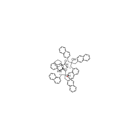 O=C(N[C@@H](c1cccc2ccccc12)C(O)(Cc1ccc2ccccc2c1)Cc1ccc2ccccc2c1)C1(C(=O)N[C@@H](c2cccc3ccccc23)C(O)(Cc2ccc3ccccc3c2)Cc2ccc3ccccc3c2)CCCCC1